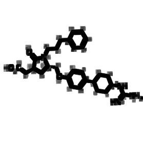 N=C(N)N[C@H]1CC[C@@H](c2ccc(OC[C@@H]3C[C@@H](CC(=O)O)C(=O)N3CCCc3ccccc3)cc2)CC1